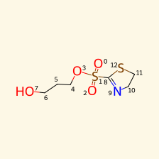 O=S(=O)(OCCCO)C1=NCCS1